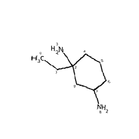 CCC1(N)CCCC(N)C1